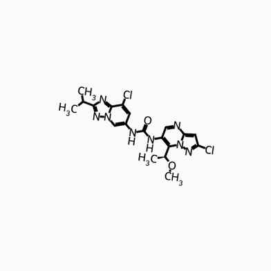 CO[C@@H](C)c1c(NC(=O)Nc2cc(Cl)c3nc(C(C)C)nn3c2)cnc2cc(Cl)nn12